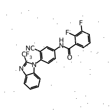 N#Cc1cc(NC(=O)c2cccc(F)c2F)ccc1-n1c(C(F)(F)F)nc2ccccc21